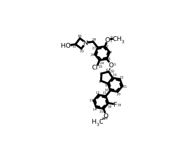 COc1cc(O[C@H]2CCc3c(-c4cccc(OC)c4F)cccc32)c(Cl)cc1CN1CC(O)C1